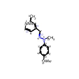 C=C/C=C(\C=C/NC)/C=N/N(C)c1ccc(OC)cc1